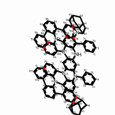 c1ccc(-c2cccc(-c3ccccc3)c2N2c3ccccc3B3c4cc5c(cc4N(c4ccccc4)c4cc(N6C7CC8CC(C7)CC6C8)cc2c43)Nc2c3c(cc(N4C6CC7CC(C6)CC4C7)c2-c2ccccc2)N(c2c(-c4ccccc4)cccc2-c2ccccc2)c2ccccc2B53)cc1